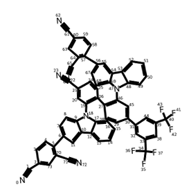 N#Cc1ccc(-c2ccc3c(c2)c2ccccc2n3-c2cc(C#N)ccc2-c2ccc(-c3cc(C(F)(F)F)cc(C(F)(F)F)c3)cc2-n2c3ccccc3c3cc(-c4ccc(C#N)cc4C#N)ccc32)c(C#N)c1